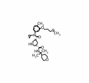 COCCCOc1cc(N(C(=O)[C@H]2CNC[C@@H](C(=O)NC(C)(C)C3CCOCC3)C2)C2CC2)ccc1C